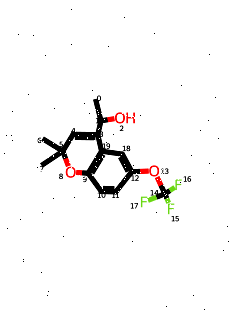 CC(O)C1=CC(C)(C)Oc2ccc(OC(F)(F)F)cc21